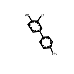 CCc1cc(-c2ccc(O)cc2)ccc1C(C)=O